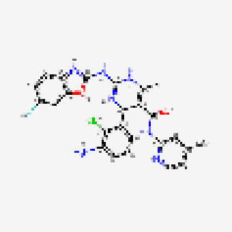 CC(=O)c1ccnc(NC(=O)C2=C(C)NC(Nc3nc4ccc(F)cc4o3)=NC2c2cccc(N)c2Cl)c1